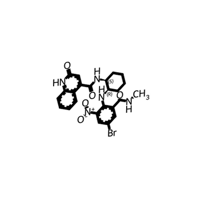 CNC(=O)c1cc(Br)cc([N+](=O)[O-])c1N[C@@H]1CCCC[C@@H]1NC(=O)c1cc(=O)[nH]c2ccccc12